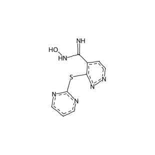 N=C(NO)c1ccnnc1Sc1ncccn1